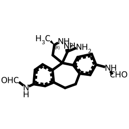 C[C@@H](N)CC1(C(=N)N)c2ccc(NC=O)cc2CCc2cc(NC=O)ccc21